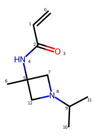 C=CC(=O)NC1(C)CN(C(C)C)C1